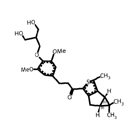 COc1cc(CCC(=O)c2sc(C)c3c2C[C@@H]2[C@H]3C2(C)C)cc(OC)c1OCC(CO)CO